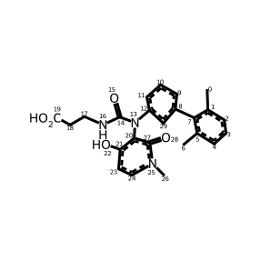 Cc1cccc(C)c1-c1cccc(N(C(=O)NCCC(=O)O)c2c(O)ccn(C)c2=O)c1